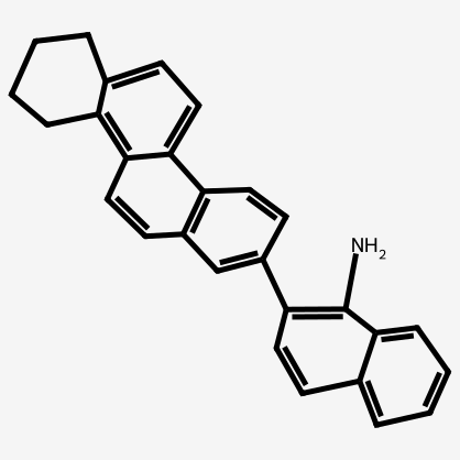 Nc1c(-c2ccc3c(ccc4c5c(ccc43)CCCC5)c2)ccc2ccccc12